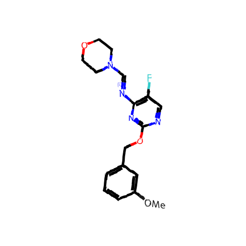 COc1cccc(COc2ncc(F)c(/N=C/N3CCOCC3)n2)c1